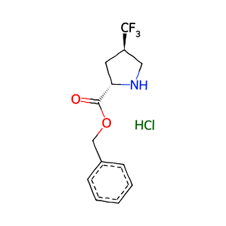 Cl.O=C(OCc1ccccc1)[C@@H]1C[C@@H](C(F)(F)F)CN1